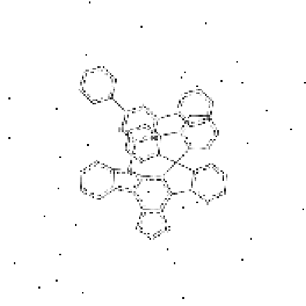 c1ccc(-c2nc(-c3ccccc3)nc(-n3c4ccccc4c4c5ccoc5c5c(c43)C3(c4ccccc4-c4ccccc43)c3cccnc3-5)n2)cc1